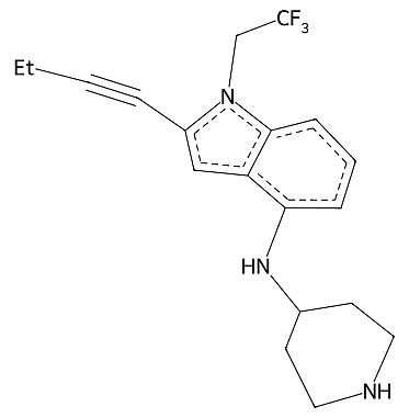 CCC#Cc1cc2c(NC3CCNCC3)cccc2n1CC(F)(F)F